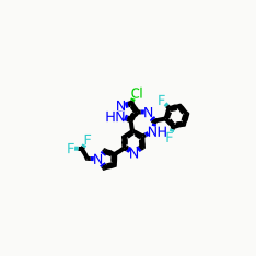 Fc1cccc(F)c1C1=Nc2c(Cl)n[nH]c2-c2cc(-c3ccn(CC(F)F)c3)ncc2N1